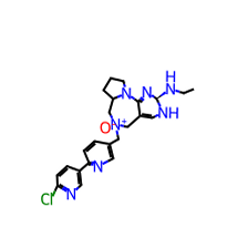 CCN[C@@H]1N=C2C(=CN1)C[N+]([O-])(Cc1ccc(-c3ccc(Cl)nc3)nc1)CC1CCCN21